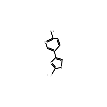 CCCc1ccc(-c2csc(N)n2)cn1